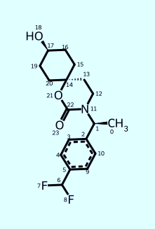 C[C@@H](c1ccc(C(F)F)cc1)N1CC[C@]2(CC[C@H](O)CC2)OC1=O